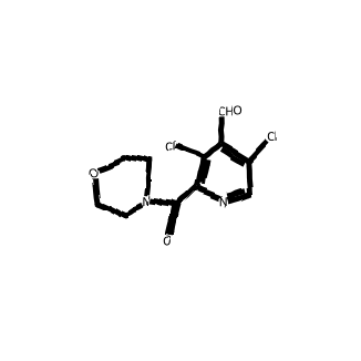 O=Cc1c(Cl)cnc(C(=O)N2CCOCC2)c1Cl